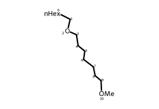 [CH2]CCCCCCOCCCCCCCOC